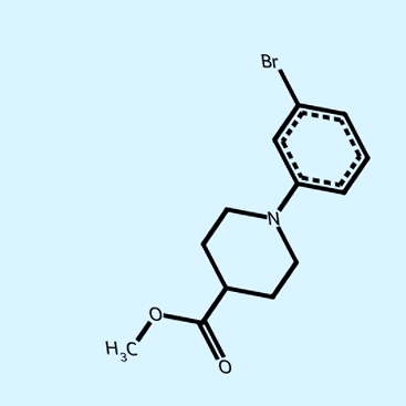 COC(=O)C1CCN(c2cccc(Br)c2)CC1